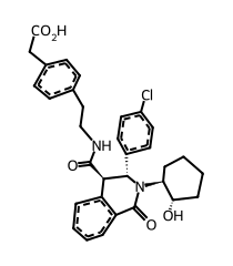 O=C(O)Cc1ccc(CCNC(=O)[C@@H]2c3ccccc3C(=O)N([C@H]3CCCC[C@@H]3O)[C@H]2c2ccc(Cl)cc2)cc1